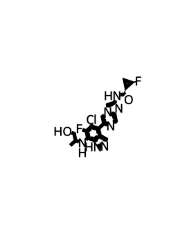 CC(CO)Nc1c(F)c(Cl)c(-c2cn3cc(NC(=O)[C@@H]4C[C@@H]4F)nc3cn2)c2cn[nH]c12